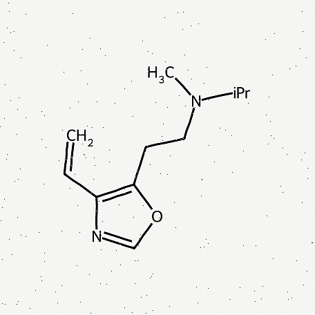 C=Cc1ncoc1CCN(C)C(C)C